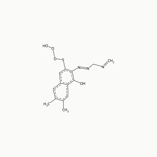 C=NCN=Nc1c(SOOO)cc2cc(C)c(C)cc2c1O